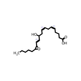 CCCCCC1OC1/C=C/C(O)C/C=C\C/C=C\CCCC(=O)O